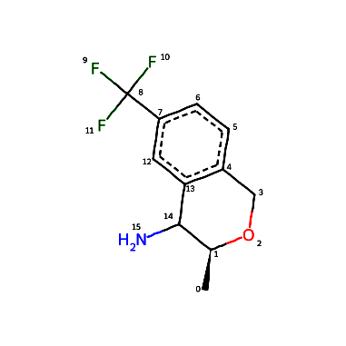 C[C@@H]1OCc2ccc(C(F)(F)F)cc2C1N